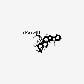 CCCCCNC(=O)CO[C@H]1C[C@H]2Cc3c([nH]c4ccccc34)[C@]2(C)[C@@]2(C)CC[C@@]34O[C@@H](C(=O)C=C3[C@]12O)C(C)(C)O4